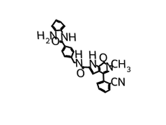 Cn1cc(-c2ccccc2C#N)c2cc(C(=O)NCc3ccc(C(=O)Nc4ccccc4N)cc3)[nH]c2c1=O